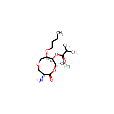 CCCCO[C@@H]1COC[C@H](N)C(=O)O[C@@H](C)[C@@H]1OC(=O)C(C)C.Cl